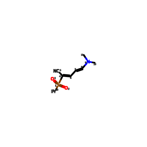 CC(C)S(=O)(=O)C(C#N)=CC=CN(C)C